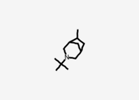 CC1CC2CC1CN(C(C)(C)C)C2